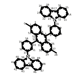 Cc1ccc2c(-c3cccc(-n4c5ccccc5c5ccccc54)c3)c3cc(C)ccc3c(-c3cccc(-n4c5ccccc5c5ccccc54)c3)c2c1